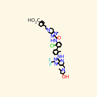 Cc1c(Nc2nc(C(F)F)nc3cc(CN4CC(O)CC4C)cnc23)cccc1-c1cccc(NC(=O)c2nc3c(n2C)CCN(CCC24CCC(C(=O)O)(CC2)C4)C3)c1Cl